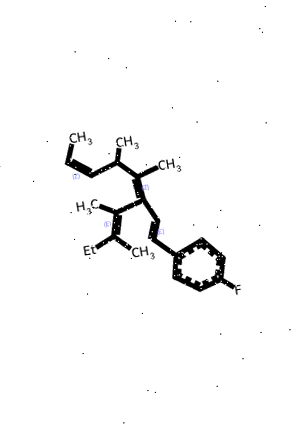 C/C=C\C(C)/C(C)=C(/C=C/c1ccc(F)cc1)C(\C)=C(/C)CC